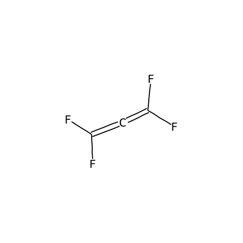 FC(F)=C=C(F)F